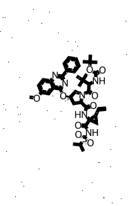 C=CC1CC1(NC(=O)C1C[C@@H](Oc2nc(-c3ccccc3)nc3ccc(OC)cc23)CN1C(=O)C(NC(=O)OC(C)(C)C)C(C)(C)C)C(=O)NS(=O)(=O)C(C)C